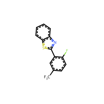 Fc1ccc(C(F)(F)F)cc1-c1nc2ccccc2s1